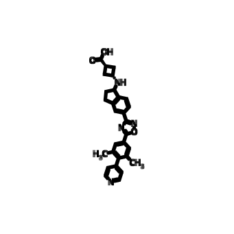 Cc1cc(-c2nc(-c3ccc4c(c3)CCC4N[C@H]3C[C@H](C(=O)O)C3)no2)cc(C)c1-c1ccncc1